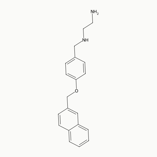 NCCNCc1ccc(OCc2ccc3ccccc3c2)cc1